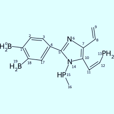 Bc1ccc(-c2nc(C=C)c(/C=C\P)n2PC)cc1B